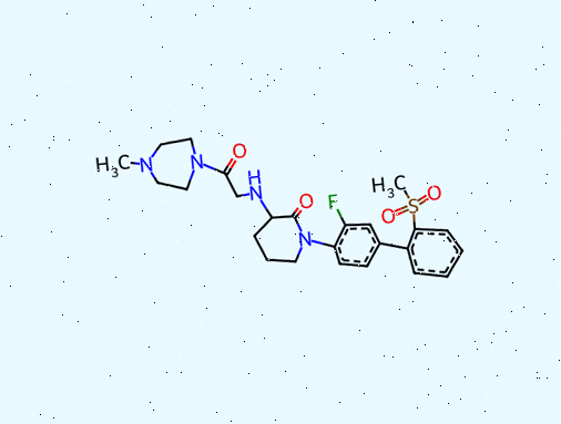 CN1CCN(C(=O)CNC2CCCN(c3ccc(-c4ccccc4S(C)(=O)=O)cc3F)C2=O)CC1